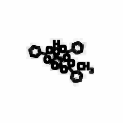 Cc1ccccc1C(=O)O[C@H]1O[C@H](OC(=O)c2ccccc2)[C@H](O)[C@@H]1OC(=O)c1ccccc1